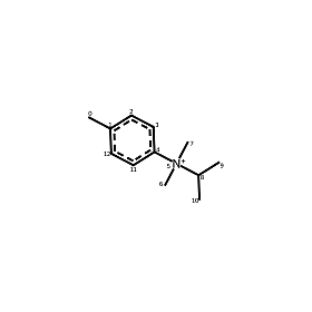 Cc1ccc([N+](C)(C)C(C)C)cc1